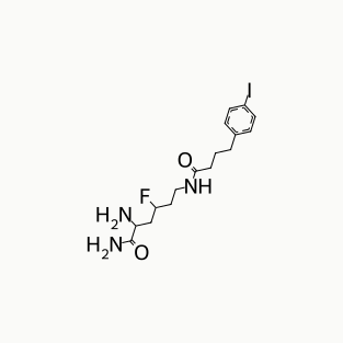 NC(=O)C(N)CC(F)CCNC(=O)CCCc1ccc(I)cc1